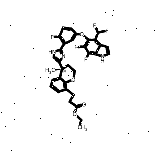 CCOC(=O)CCc1cccc2c1OCC[C@@]2(C)c1c[nH]c(-c2cc(Oc3c(F)c(F)c4[nH]ccc4c3C(F)F)ccc2F)n1